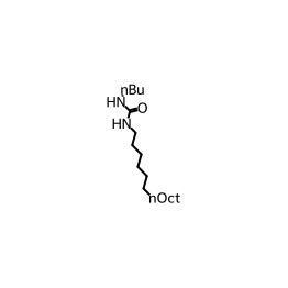 CCCCCCCCCCCCCCNC(=O)NCCCC